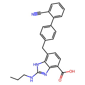 CCCNc1nc2c(C(=O)O)ccc(Cc3ccc(-c4ccccc4C#N)cc3)c2[nH]1